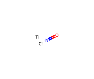 [C].[N]=O.[Ti]